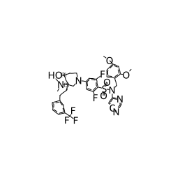 COc1ccc(CN(c2ccncn2)S(=O)(=O)c2c(F)cc(N3CC[C@@H](O)[C@@](CCc4cccc(C(F)(F)F)c4)(N(C)C)C3)cc2F)c(OC)c1